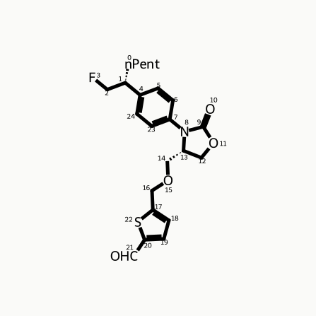 CCCCC[C@@H](CF)c1ccc(N2C(=O)OC[C@@H]2COCc2ccc(C=O)s2)cc1